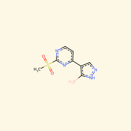 Bc1[nH]ncc1-c1ccnc(S(C)(=O)=O)n1